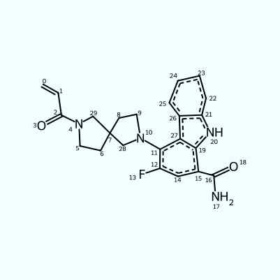 C=CC(=O)N1CCC2(CCN(c3c(F)cc(C(N)=O)c4[nH]c5ccccc5c34)C2)C1